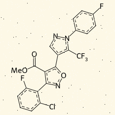 COC(=O)c1c(-c2c(F)cccc2Cl)noc1-c1cnn(-c2ccc(F)cc2)c1C(F)(F)F